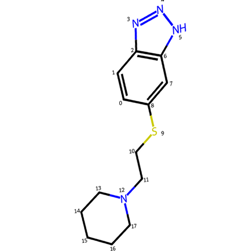 c1cc2nn[nH]c2cc1SCCN1CCCCC1